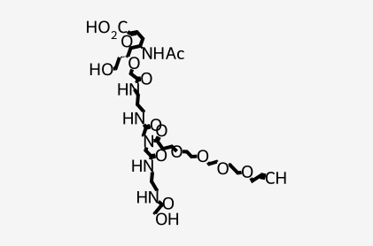 C#CCOCCOCCOCCOCCC(=O)N(CC(=O)NCCCNC(=O)CO)CC(=O)NCCCNC(=O)CO[C@H](CCO)[C@@H]1OC(C(=O)O)=CC[C@H]1NC(C)=O